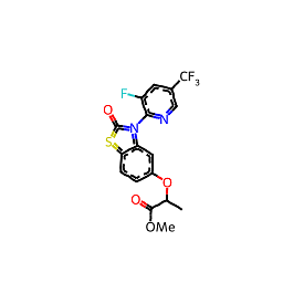 COC(=O)C(C)Oc1ccc2sc(=O)n(-c3ncc(C(F)(F)F)cc3F)c2c1